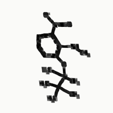 CNc1c(O[Si](C)(C)C(C)(C)C)cccc1[N+](=O)[O-]